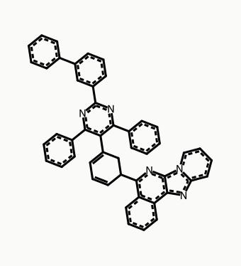 C1=CC(c2nc3c(nc4ccccn43)c3ccccc23)CC(c2c(-c3ccccc3)nc(-c3cccc(-c4ccccc4)c3)nc2-c2ccccc2)=C1